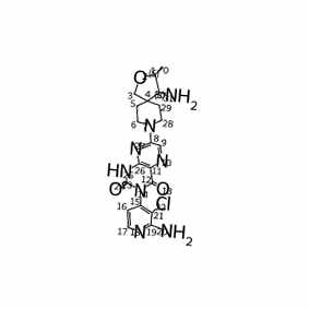 C[C@@H]1OCC2(CCN(c3cnc4c(=O)n(-c5ccnc(N)c5Cl)c(=O)[nH]c4n3)CC2)[C@@H]1N